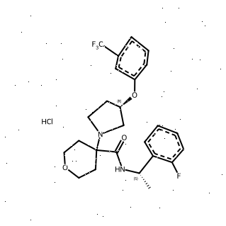 C[C@H](NC(=O)C1(N2CC[C@@H](Oc3cccc(C(F)(F)F)c3)C2)CCOCC1)c1ccccc1F.Cl